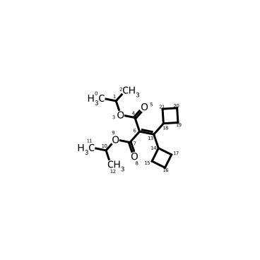 CC(C)OC(=O)C(C(=O)OC(C)C)=C(C1CCC1)C1CCC1